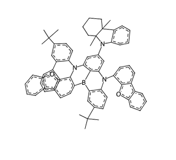 CC(C)(C)c1ccc2c(c1)B1c3ccc4c(oc5ccccc54)c3N(c3ccc(C(C)(C)C)cc3-c3ccccc3)c3cc(N4c5ccccc5C5(C)CCCCC45C)cc(c31)N2c1cccc2c1oc1ccccc12